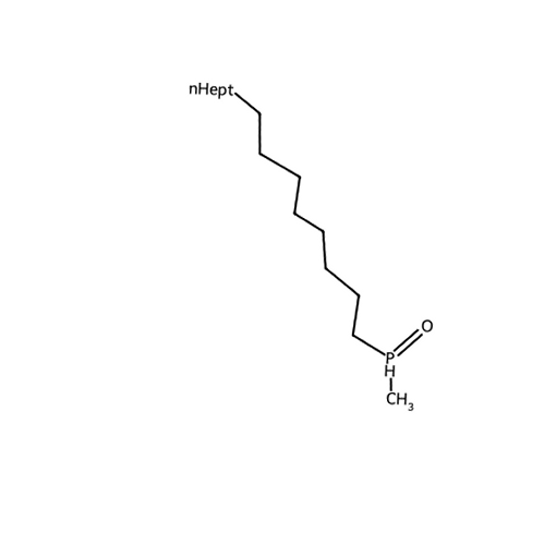 CCCCCCCCCCCCCCC[PH](C)=O